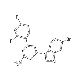 Nc1cc(-c2ccc(F)cc2F)cc(-n2cnc3cc(Br)ccc32)c1